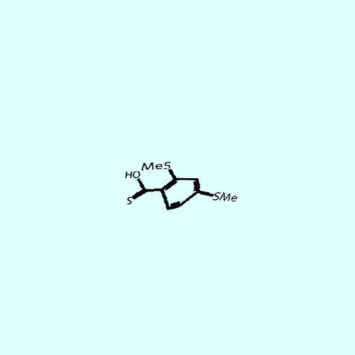 CSc1ccc(C(O)=S)c(SC)c1